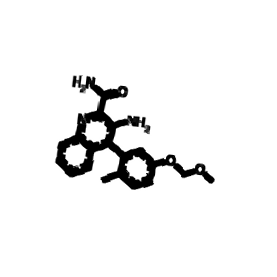 COCOc1ccc(C)c(-c2c(N)c(C(N)=O)nc3ccccc23)c1